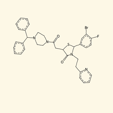 O=C(CC1SC(c2ccc(F)c(Br)c2)N(CCc2ccccn2)C1=O)N1CCN(C(c2ccccc2)c2ccccc2)CC1